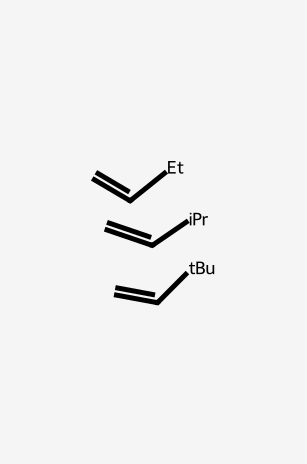 C=CC(C)(C)C.C=CC(C)C.C=CCC